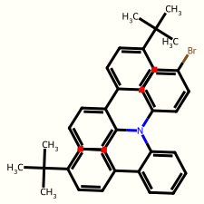 CC(C)(C)c1ccc(-c2ccccc2N(c2ccc(Br)cc2)c2ccccc2-c2ccc(C(C)(C)C)cc2)cc1